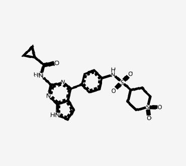 O=C(Nc1nc(-c2ccc(NS(=O)(=O)C3CCS(=O)(=O)CC3)cc2)c2cc[nH]c2n1)C1CC1